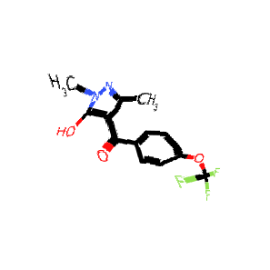 Cc1nn(C)c(O)c1C(=O)c1ccc(OC(F)(F)F)cc1